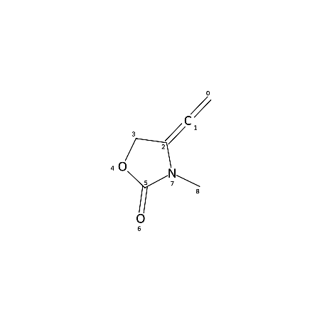 C=C=C1COC(=O)N1C